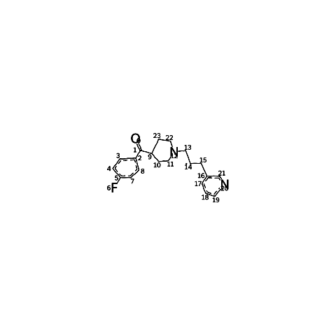 O=C(c1ccc(F)cc1)C1CCN(C[CH]Cc2cccnc2)CC1